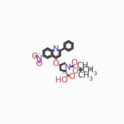 CC(C)(C)OC(=O)N1CC(Oc2cc(-c3ccccc3)nc3ccc([N+](=O)[O-])cc23)C[C@H]1C(=O)O